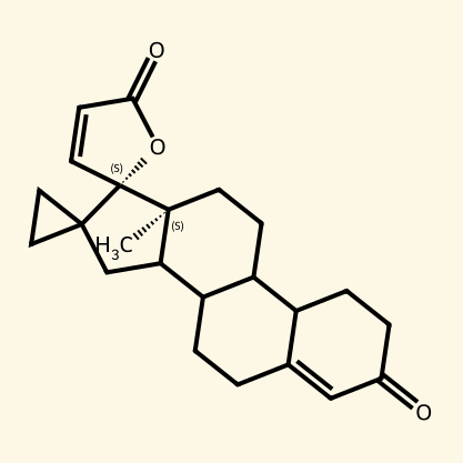 C[C@]12CCC3C4CCC(=O)C=C4CCC3C1CC1(CC1)[C@@]21C=CC(=O)O1